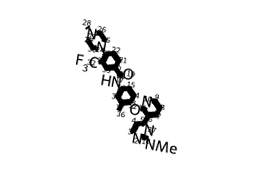 CNc1nccc(-c2cccnc2Oc2ccc(NC(=O)c3ccc(N4CCN(C)CC4)c(C(F)(F)F)c3)cc2C)n1